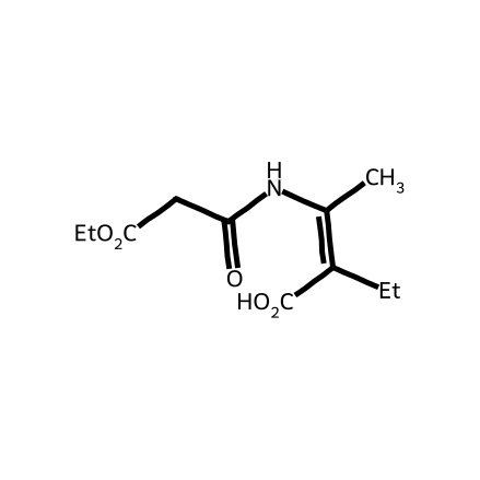 CCOC(=O)CC(=O)NC(C)=C(CC)C(=O)O